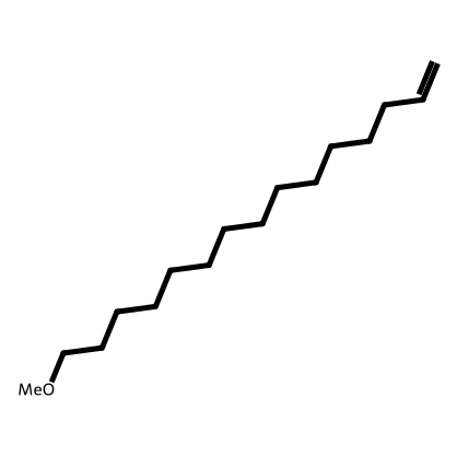 C=CCCCCCCCCCCCCCOC